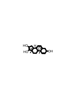 C[C@]12C=CC(O)CC1C=C[C@H]1[C@@H]3CC(O)C(O)[C@@]3(C)CC[C@]12O